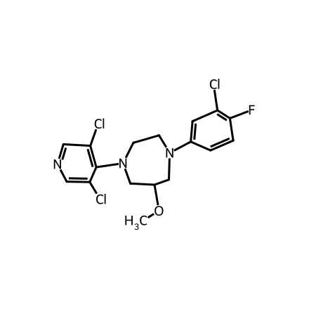 COC1CN(c2ccc(F)c(Cl)c2)CCN(c2c(Cl)cncc2Cl)C1